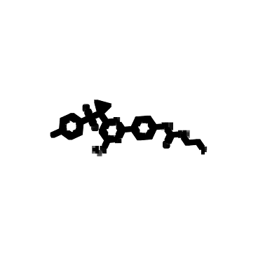 Cc1ccc(S(=O)(=O)C2(c3cc(N)nc(-c4ccc(NC(=O)NCCF)cc4)n3)CC2)cc1